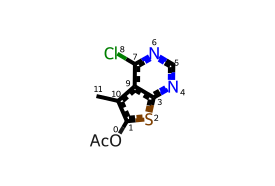 CC(=O)Oc1sc2ncnc(Cl)c2c1C